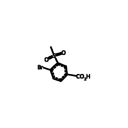 CS(=O)(=O)c1cc(C(=O)O)ccc1Br